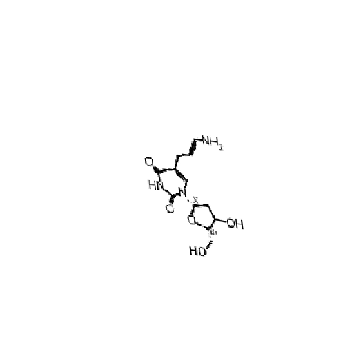 NC=CCc1cn([C@@H]2CC(O)[C@H](CO)O2)c(=O)[nH]c1=O